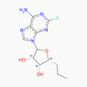 [CH2]CC[C@H]1OC(n2cnc3c(N)nc(F)nc32)[C@@H](O)[C@H]1O